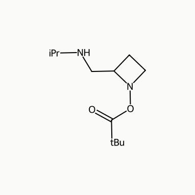 CC(C)NCC1CCN1OC(=O)C(C)(C)C